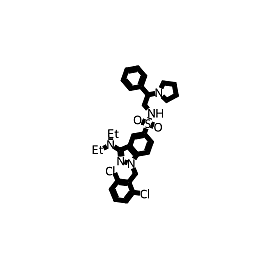 CCN(CC)c1nn(Cc2c(Cl)cccc2Cl)c2ccc(S(=O)(=O)NCC(c3ccccc3)N3CCCC3)cc12